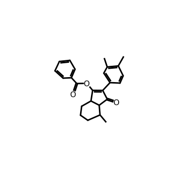 Cc1ccc(C2=C(OC(=O)c3ccccc3)C3CCCC(C)C3C2=O)cc1C